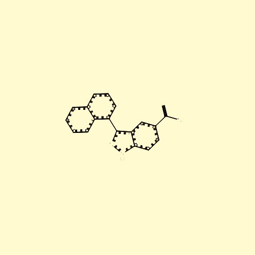 NC(=O)c1ccc2[nH]nc(-c3cccc4ccccc34)c2c1